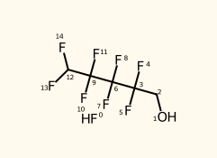 F.OCC(F)(F)C(F)(F)C(F)(F)C(F)F